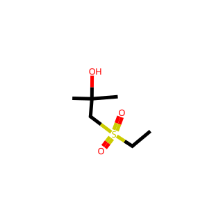 CCS(=O)(=O)CC(C)(C)O